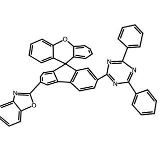 c1ccc(-c2nc(-c3ccccc3)nc(-c3ccc4c(c3)C3(c5ccccc5Oc5ccccc53)c3ccc(-c5nc6ccccc6o5)cc3-4)n2)cc1